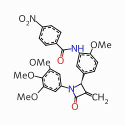 C=C1C(=O)N(c2cc(OC)c(OC)c(OC)c2)[C@H]1c1ccc(OC)c(NC(=O)c2ccc([N+](=O)[O-])cc2)c1